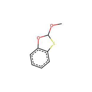 COC1Oc2ccccc2S1